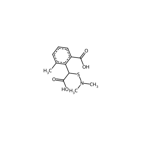 Cc1cccc(C(=O)O)c1C(SN(C)C)C(=O)O